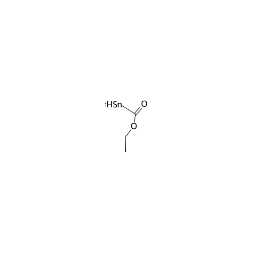 CCO[C](=O)[SnH]